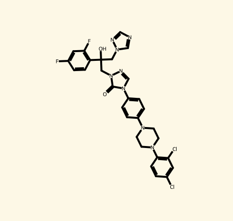 O=c1n(-c2ccc(N3CCN(c4ccc(Cl)cc4Cl)CC3)cc2)cnn1CC(O)(Cn1cncn1)c1ccc(F)cc1F